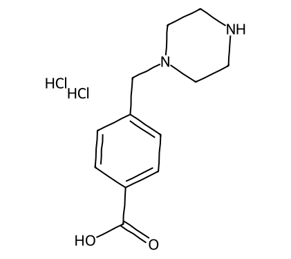 Cl.Cl.O=C(O)c1ccc(CN2CCNCC2)cc1